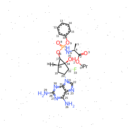 CC(C)OC(=O)[C@H](C)N[P@@](=O)(Oc1ccccc1)OC1[C@H]2C[C@@H](n3cnc4c(N)nc(N)nc43)[C@@H](F)[C@@]12O